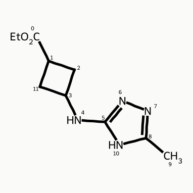 CCOC(=O)C1CC(Nc2nnc(C)[nH]2)C1